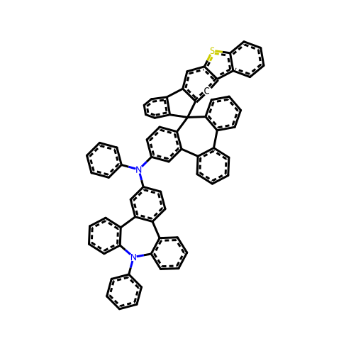 c1ccc(N(c2ccc3c(c2)-c2ccccc2N(c2ccccc2)c2ccccc2-3)c2ccc3c(c2)-c2ccccc2-c2ccccc2C32c3ccccc3-c3cc4sc5ccccc5c4cc32)cc1